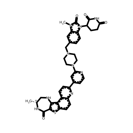 C[C@@H]1CNc2c(sc3ccc4nc(-c5ccnc(N6CCN(Cc7ccc8c(c7)n(C)c(=O)n8C7CCC(=O)NC7=O)CC6)c5)ccc4c23)C(=O)N1